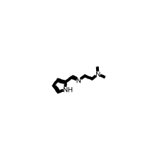 CN(C)CC/N=C/c1ccc[nH]1